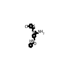 NCc1cn(Cc2csc3ccc(Cl)cc23)c2ccc(CNC(=O)c3ccccc3)cc12